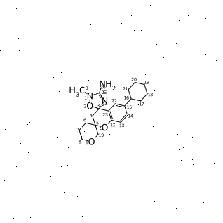 CN1OC2(CC3(CCCOC3)Oc3ccc(C4CCCCC4)cc32)N=C1N